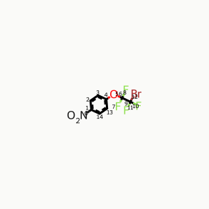 O=[N+]([O-])c1ccc(OC(F)(F)C(F)(F)Br)cc1